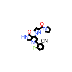 N#Cc1cccc(F)c1-c1cc(-n2ccc(C(=O)N3CCCC3)n2)c2c(n1)CNC2=O